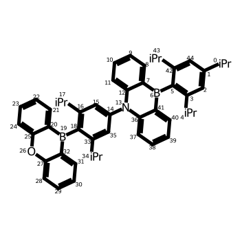 CC(C)c1cc(C(C)C)c(B2c3ccccc3N(c3cc(C(C)C)c(B4c5ccccc5Oc5ccccc54)c(C(C)C)c3)c3ccccc32)c(C(C)C)c1